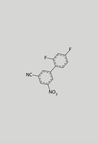 N#Cc1cc(-c2ccc(F)cc2F)cc([N+](=O)[O-])c1